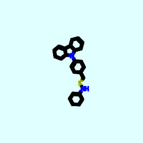 C1=CCC2C(C1)C1=CCCCC1N2C1=CCC(CSNC2=CCCCC2)CC1